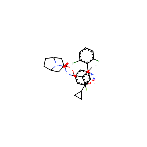 O=C(Nc1cc(F)cc(C(F)(F)F)c1)N1C2CCC1CC(OCc1c(-c3c(Cl)cccc3Cl)noc1C1CC1)C2